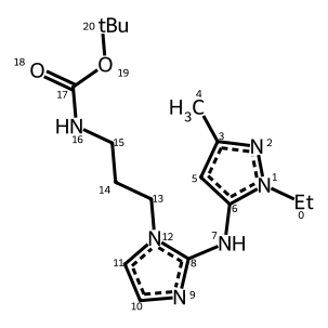 CCn1nc(C)cc1Nc1nccn1CCCNC(=O)OC(C)(C)C